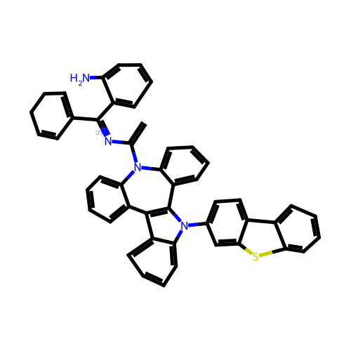 C=C(/N=C(/C1=CCCC=C1)c1ccccc1N)N1c2ccccc2-c2c(n(-c3ccc4c(c3)sc3ccccc34)c3ccccc23)-c2ccccc21